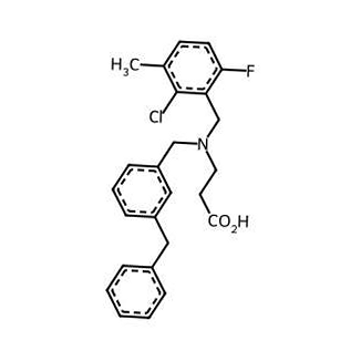 Cc1ccc(F)c(CN(CCC(=O)O)Cc2cccc(Cc3ccccc3)c2)c1Cl